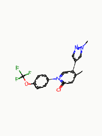 Cc1cc(=O)n(-c2ccc(OC(F)(F)F)cc2)cc1-c1cnn(C)c1